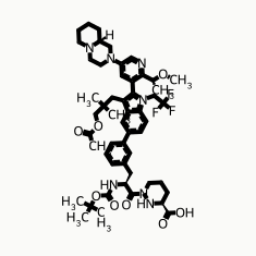 CO[C@@H](C)c1ncc(N2CCN3CCCC[C@@H]3C2)cc1-c1c(CC(C)(C)COC(C)=O)c2cc(-c3cccc(C[C@H](NC(=O)OC(C)(C)C)C(=O)N4CCC[C@@H](C(=O)O)N4)c3)ccc2n1CC(F)(F)F